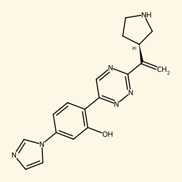 C=C(c1ncc(-c2ccc(-n3ccnc3)cc2O)nn1)[C@H]1CCNC1